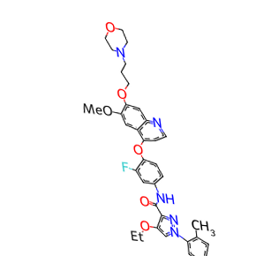 CCOc1cn(-c2ccc(F)cc2C)nc1C(=O)Nc1ccc(Oc2ccnc3cc(OCCCN4CCOCC4)c(OC)cc23)c(F)c1